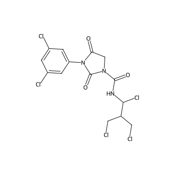 O=C(NC(Cl)C(CCl)CCl)N1CC(=O)N(c2cc(Cl)cc(Cl)c2)C1=O